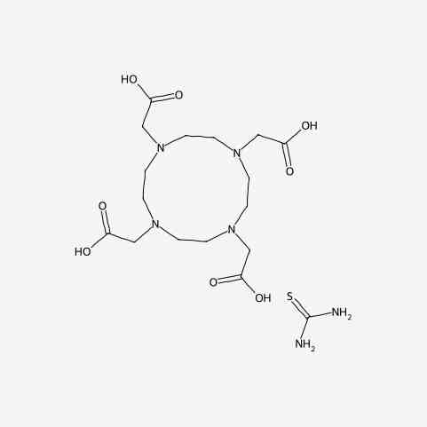 NC(N)=S.O=C(O)CN1CCN(CC(=O)O)CCN(CC(=O)O)CCN(CC(=O)O)CC1